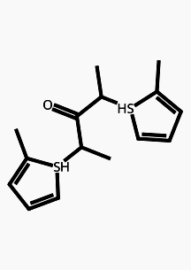 CC1=CC=C[SH]1C(C)C(=O)C(C)[SH]1C=CC=C1C